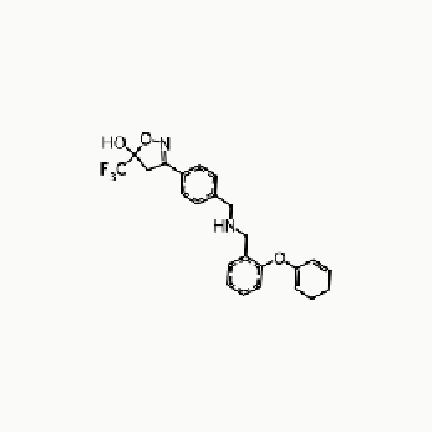 OC1(C(F)(F)F)CC(c2ccc(CNCc3ccccc3OC3=CCCC=C3)cc2)=NO1